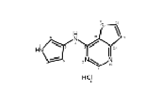 Cl.c1nc(Nc2cc[nH]c2)c2sccc2n1